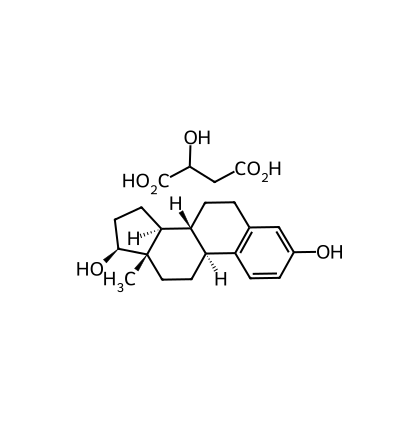 C[C@]12CC[C@@H]3c4ccc(O)cc4CC[C@H]3[C@@H]1CC[C@@H]2O.O=C(O)CC(O)C(=O)O